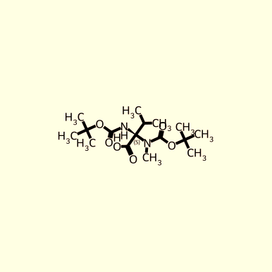 CC(C)[C@@](NC(=O)OC(C)(C)C)(C(=O)O)N(C)C(=O)OC(C)(C)C